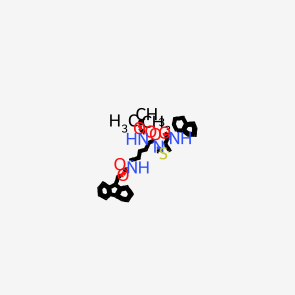 CC(C)(C)OC(=O)NC(CCCCNC(=O)OCC1c2ccccc2-c2ccccc21)C(=O)N1CSCC1C(=O)NC1CCCc2ccccc21